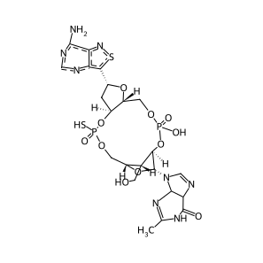 CC1=NC2C(N=CN2[C@@H]2O[C@@H]3COP(=O)(S)O[C@H]4C[C@H](c5snc6c(N)ncnc56)O[C@@H]4COP(=O)(O)O[C@@H]2[C@@H]3CO)C(=O)N1